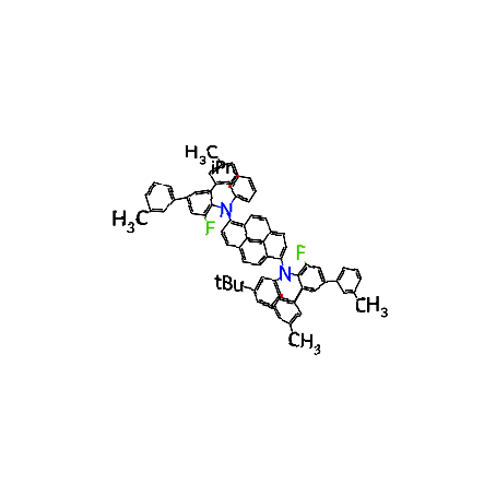 Cc1cccc(-c2cc(F)c(N(c3cccc(C(C)C)c3)c3ccc4ccc5c(N(c6cccc(C(C)(C)C)c6)c6c(F)cc(-c7cccc(C)c7)cc6-c6cccc(C)c6)ccc6ccc3c4c65)c(-c3cccc(C)c3)c2)c1